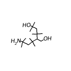 CC(C)(N)CC(C)(C)C(CO)C(C)(C)CC(C)(C)O